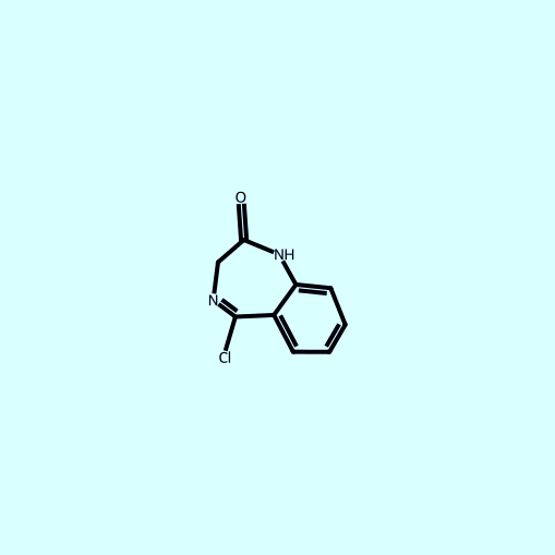 O=C1CN=C(Cl)c2ccccc2N1